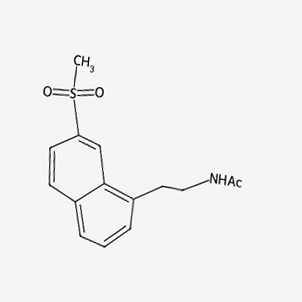 CC(=O)NCCc1cccc2ccc(S(C)(=O)=O)cc12